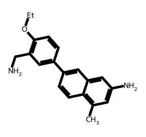 CCOc1ccc(-c2ccc3c(C)cc(N)cc3c2)cc1CN